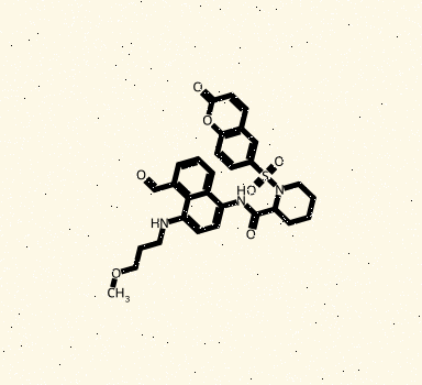 COCCCNc1ccc(NC(=O)C2CCCCN2S(=O)(=O)c2ccc3oc(=O)ccc3c2)c2cccc(C=O)c12